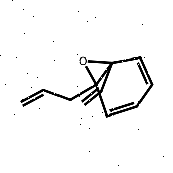 C=CCC12C=CC=CC1(C=C)O2